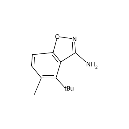 Cc1ccc2onc(N)c2c1C(C)(C)C